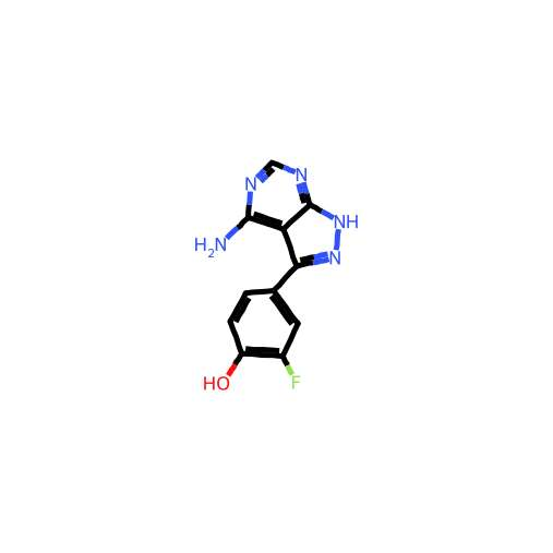 Nc1ncnc2[nH]nc(-c3ccc(O)c(F)c3)c12